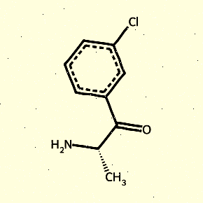 C[C@H](N)C(=O)c1cccc(Cl)c1